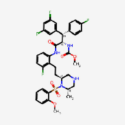 COC(=O)N[C@H](C(=O)Nc1cccc(F)c1CC[C@H]1CNC[C@H](C)N1S(=O)(=O)c1ccccc1OC)[C@@H](c1ccc(F)cc1)c1cc(F)cc(F)c1